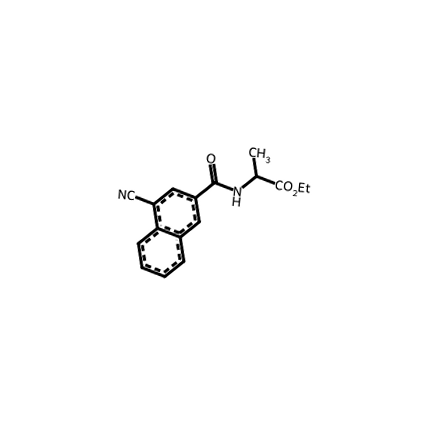 CCOC(=O)C(C)NC(=O)c1cc(C#N)c2ccccc2c1